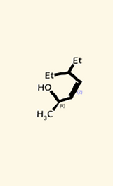 CCC(/C=C\[C@@H](C)O)CC